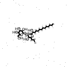 CCCCCCCCCCCC[C@H](O)C(=O)N[C@@H](COC1OC(CO)C(O)C(O)C1O)[C@H](O)CCCC